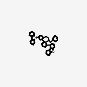 c1ccc(CC2CCc3ccc(-n4c5ccccc5c5ccccc54)cc3-c3cccc(-c4cccc5oc6ccccc6c45)c32)cc1